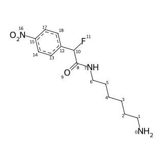 NCCCCCCNC(=O)C(F)c1ccc([N+](=O)[O-])cc1